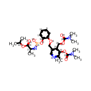 Cc1ncc(COc2ccccc2O[P+]([O-])=N[C@@H](C)C(=O)OC(C)C)c(COC(=O)N(C)C)c1OC(=O)N(C)C